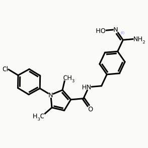 Cc1cc(C(=O)NCc2ccc(/C(N)=N\O)cc2)c(C)n1-c1ccc(Cl)cc1